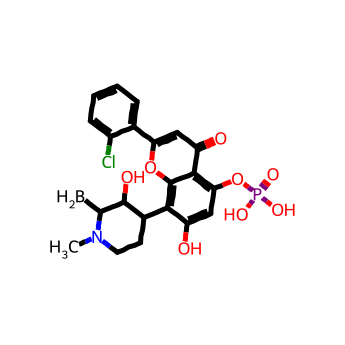 BC1C(O)C(c2c(O)cc(OP(=O)(O)O)c3c(=O)cc(-c4ccccc4Cl)oc23)CCN1C